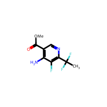 COC(=O)c1cnc(C(C)(F)F)c(F)c1N